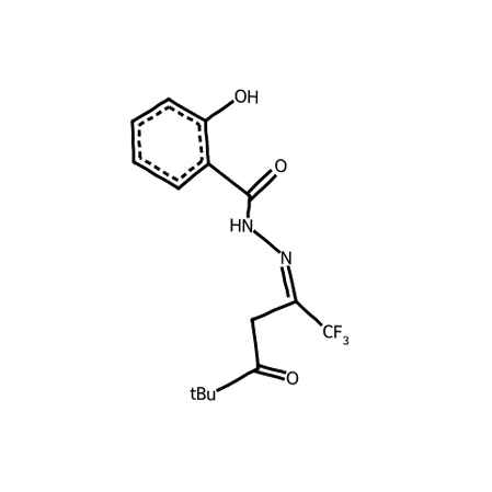 CC(C)(C)C(=O)CC(=NNC(=O)c1ccccc1O)C(F)(F)F